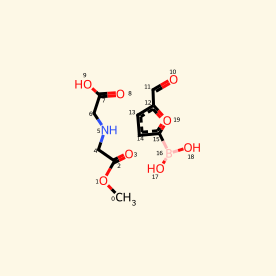 COC(=O)CNCC(=O)O.O=Cc1ccc(B(O)O)o1